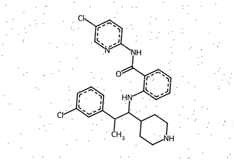 CC(c1cccc(Cl)c1)C(Nc1ccccc1C(=O)Nc1ccc(Cl)cn1)C1CCNCC1